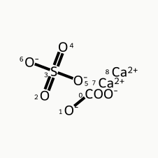 O=C([O-])[O-].O=S(=O)([O-])[O-].[Ca+2].[Ca+2]